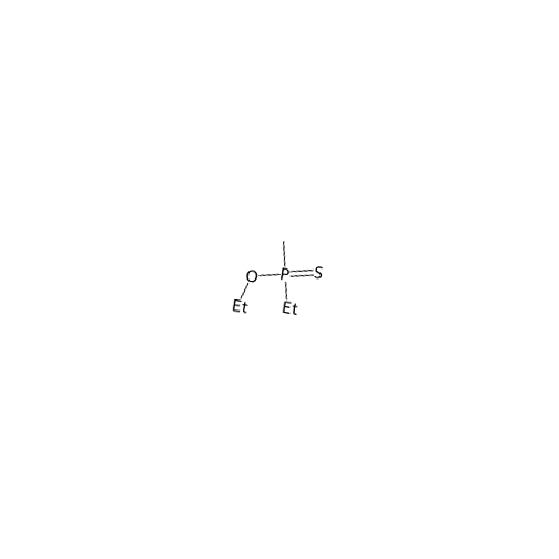 CCOP(C)(=S)CC